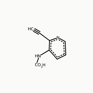 C#Cc1ncccc1NC(=O)O